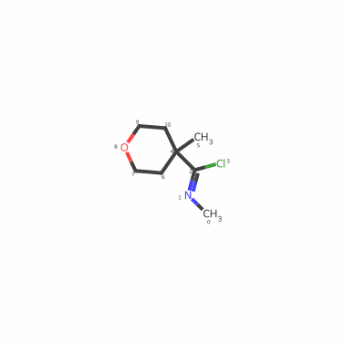 CN=C(Cl)C1(C)CCOCC1